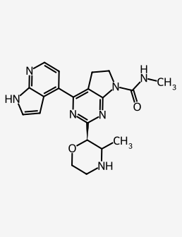 CNC(=O)N1CCc2c(-c3ccnc4[nH]ccc34)nc([C@@H]3OCCNC3C)nc21